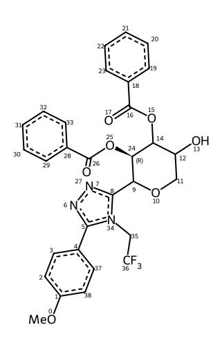 COc1ccc(-c2nnc(C3OCC(O)C(OC(=O)c4ccccc4)[C@@H]3OC(=O)c3ccccc3)n2CC(F)(F)F)cc1